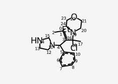 CCC(C)=C(C(c1ccccc1)N1CCNC1)C(C)(Cl)N1CCOCC1